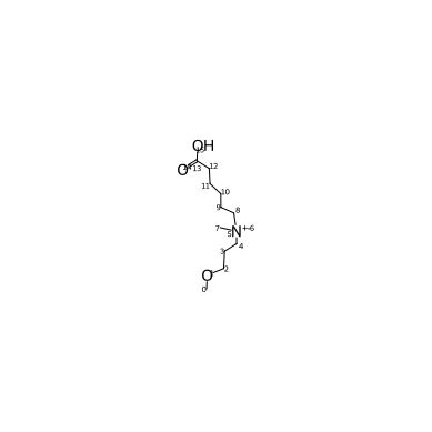 COCCC[N+](C)(C)CCCCCC(=O)O